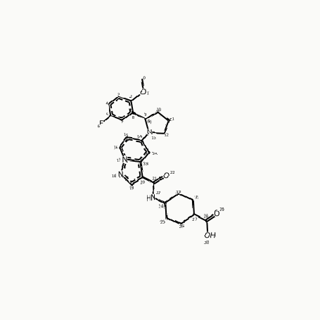 COc1ccc(F)cc1[C@H]1CCCN1c1ccn2ncc(C(=O)NC3CCC(C(=O)O)CC3)c2c1